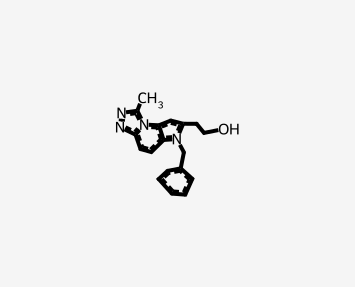 Cc1nnc2ccc3c(cc(CCO)n3Cc3ccccc3)n12